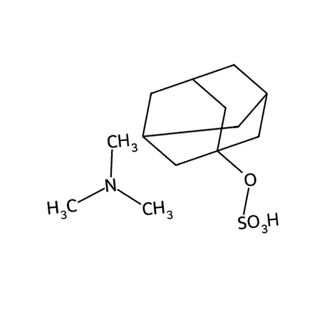 CN(C)C.O=S(=O)(O)OC12CC3CC(CC(C3)C1)C2